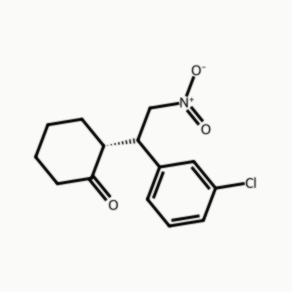 O=C1CCCC[C@@H]1C(C[N+](=O)[O-])c1cccc(Cl)c1